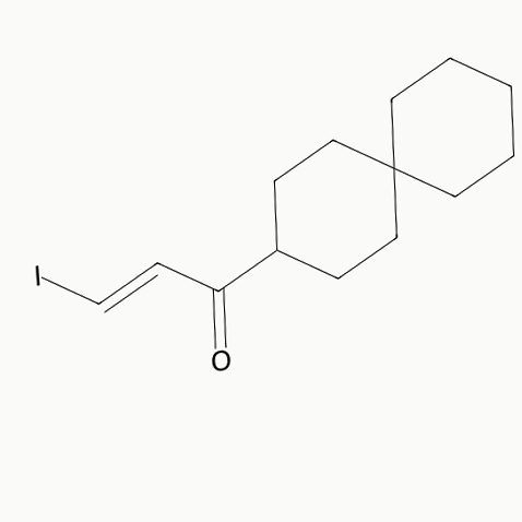 O=C(/C=C/I)C1CCC2(CCCCC2)CC1